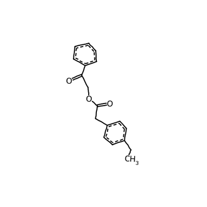 CCc1ccc(CC(=O)OCC(=O)c2ccccc2)cc1